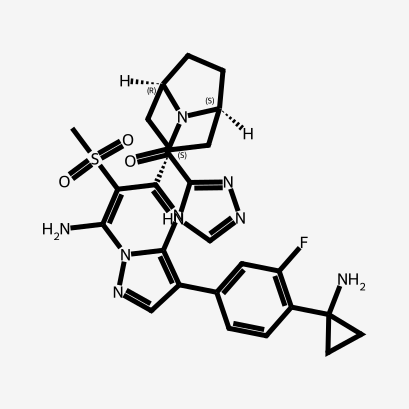 CS(=O)(=O)c1c([C@@H]2C[C@H]3CC[C@@H](C2)N3C(=O)c2nnc[nH]2)nc2c(-c3ccc(C4(N)CC4)c(F)c3)cnn2c1N